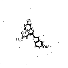 COc1ccc2oc(-c3nc4cc(C#N)ncn4c3CN(C)C)cc2c1